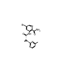 Cc1ccnc([C@H]2C[C@@H]2C(=O)Nc2cc(Br)cnc2C(N)=O)n1